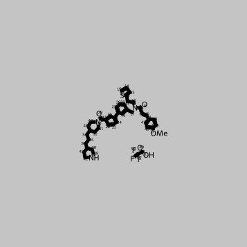 COc1ccc(/C=C/C(=O)N(CCc2cccs2)Cc2cccc(-c3cccc(C(=O)N4CCC(CCCC5CCNCC5)CC4)c3)c2)cc1.O=C(O)C(F)(F)F